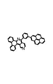 c1cc(-c2cc3ccc4cccc5ccc(c2)c3c45)cc(-c2nc3c4ccccc4c4ccccc4c3c3cnccc23)c1